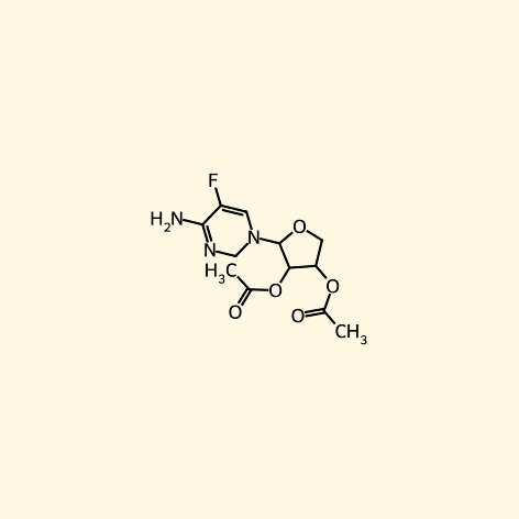 CC(=O)OC1COC(N2C=C(F)C(N)=NC2)C1OC(C)=O